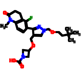 CN1C(=O)CCc2c1ccc(-c1nn(COCC[Si](C)(C)C)cc1COC1CN(C(=O)O)C1)c2F